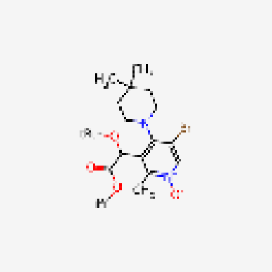 Cc1c(C(OC(C)(C)C)C(=O)OC(C)C)c(N2CCC(C)(C)CC2)c(Br)c[n+]1[O-]